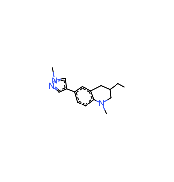 CCC1Cc2cc(-c3cnn(C)c3)ccc2N(C)C1